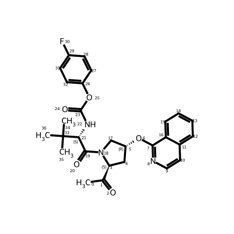 CC(=O)[C@@H]1C[C@@H](Oc2nccc3ccccc23)CN1C(=O)[C@@H](NC(=O)Oc1ccc(F)cc1)C(C)(C)C